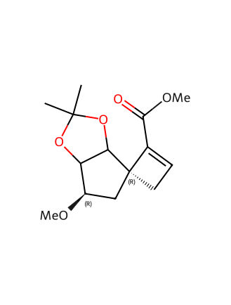 COC(=O)C1=CC[C@@]12C[C@@H](OC)C1OC(C)(C)OC12